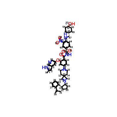 Cc1cc2cc(Oc3cc(N4CCC5(CC4)CN([C@H]4CCC[C@H]4c4ccccc4C(C)C)C5)ccc3C(=O)NS(=O)(=O)c3ccc(NC[C@H]4CC[C@](C)(O)CC4)c([N+](=O)[O-])c3)cnc2[nH]1